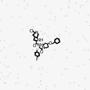 O=C(N[C@@H](Cc1ccc(F)cc1)C(=O)N1CCC(OCc2ccccc2)CC1)c1cc2cc(Cl)ncc2[nH]1